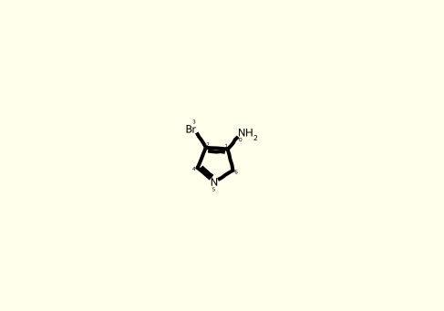 NC1=C(Br)C=NC1